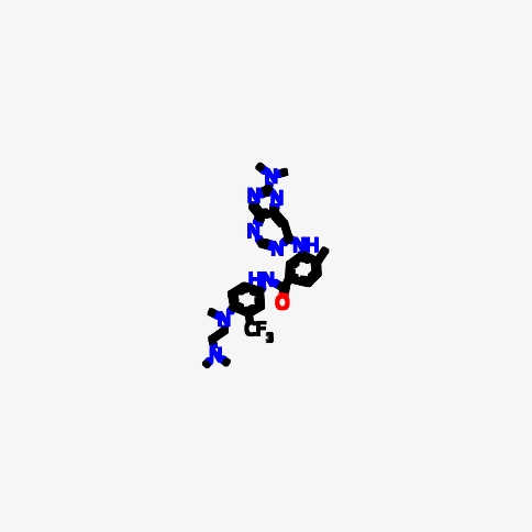 Cc1ccc(C(=O)Nc2ccc(N(C)CCN(C)C)c(C(F)(F)F)c2)cc1NC1C=c2nc(N(C)C)ncc2=NC=N1